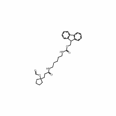 O=COC1(CCC(=O)NCCCCCNC(=O)OCC2c3ccccc3-c3ccccc32)CCCC1